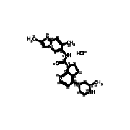 Cc1cn2cc(NC(=O)N3CCc4c(N5CCN[C@H](C)C5)ccnc43)c(C)cc2n1.Cl